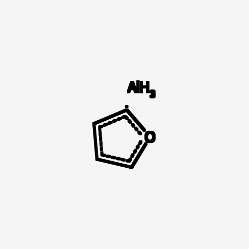 [AlH3].[c]1ccco1